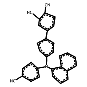 N#Cc1ccc(N(c2ccc(-c3ccc(C#N)c(C#N)c3)cc2)c2cccc3ccccc23)cc1